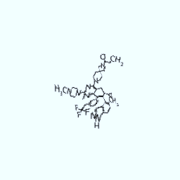 C=CC(=O)N1CC2(CCN(c3nc(N4CCN(C)CC4)nc4c(OCC(F)(F)F)c(-c5c(C)ccc6[nH]ncc56)c(C5CC5)cc34)CC2)C1